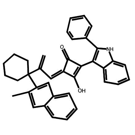 C=C(/C=C1\C(=O)C(c2c(-c3ccccc3)[nH]c3ccccc23)=C1O)C1(c2cc3ccccc3cc2C)CCCCC1